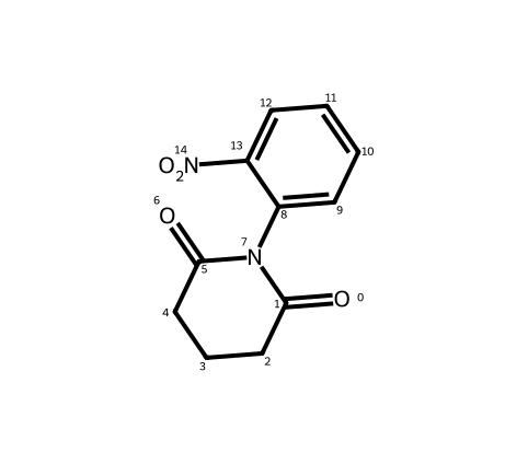 O=C1CCCC(=O)N1c1ccccc1[N+](=O)[O-]